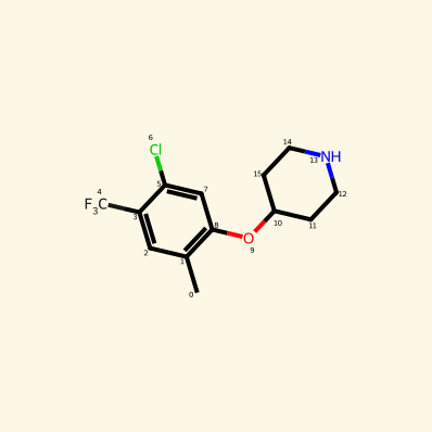 Cc1cc(C(F)(F)F)c(Cl)cc1OC1CCNCC1